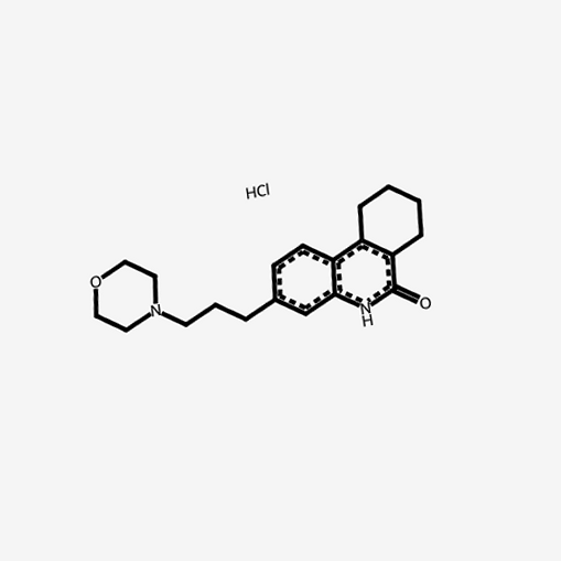 Cl.O=c1[nH]c2cc(CCCN3CCOCC3)ccc2c2c1CCCC2